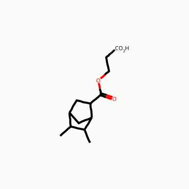 CC1C2CC(C(=O)OCCC(=O)O)C(C2)C1C